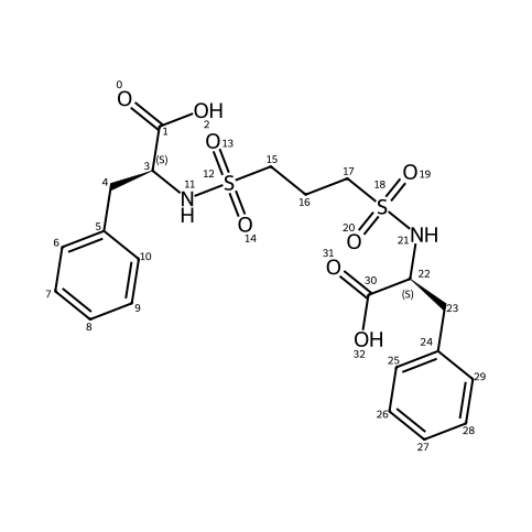 O=C(O)[C@H](Cc1ccccc1)NS(=O)(=O)CCCS(=O)(=O)N[C@@H](Cc1ccccc1)C(=O)O